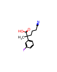 CC(CCCC#N)(C(=O)O)c1cccc(I)c1